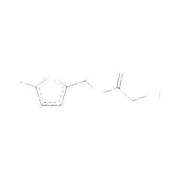 CCc1ccc(COC(=O)CO)o1